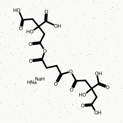 O=C(O)CC(O)(CC(=O)OC(=O)CCC(=O)OC(=O)CC(O)(CC(=O)O)C(=O)O)C(=O)O.[NaH].[NaH]